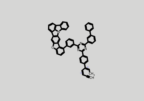 C#C/C=C\C(=C/C)c1ccc(-c2nc(-c3cccc(-c4ccccc4)c3)nc(-c3cccc(-c4cccc5oc6cc7c8cccc9c%10ccccc%10n(c7cc6c45)c98)c3)n2)cc1